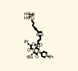 CC(C)C[C@H]1ON(C(=O)/C=C/c2nc(C#CCCCOP(=O)(O)O)cs2)[C@H]2CN(C3CCN(C(C)C)CC3)C(=O)[C@H](CC(C)(C)C)N2C1=O